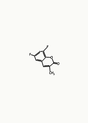 Cc1cc2cc(F)[c]c(F)c2oc1=O